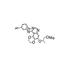 C#Cc1cccc(Nc2ncnc3cc(OC(C)COC)c4c(c23)OCCO4)c1